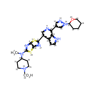 CN(c1nc2sc(-c3cnc(-c4cnn(C5CCCCO5)c4)c4[nH]ccc34)nc2s1)C1CCN(C(=O)O)CC1